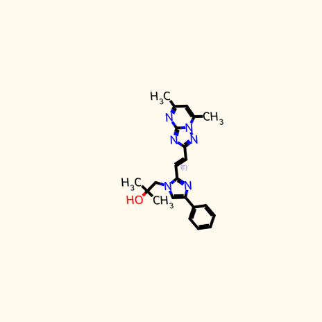 Cc1cc(C)n2nc(/C=C/c3nc(-c4ccccc4)cn3CC(C)(C)O)nc2n1